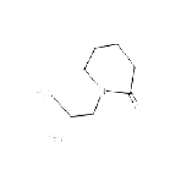 CC(C)(C)[C@H](N)CN1CCCCC1=O